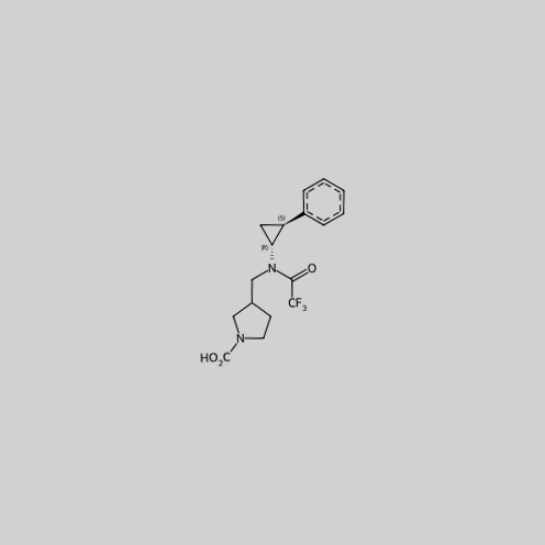 O=C(O)N1CCC(CN(C(=O)C(F)(F)F)[C@@H]2C[C@H]2c2ccccc2)C1